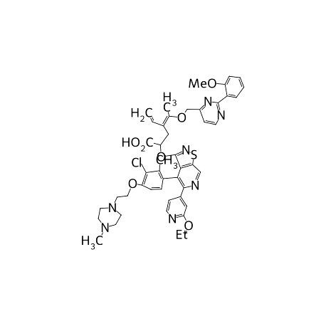 C=C/C(CC(Oc1nsc2cnc(-c3ccnc(OCC)c3)c(-c3ccc(OCCN4CCN(C)CC4)c(Cl)c3C)c12)C(=O)O)=C(\C)OCc1ccnc(-c2ccccc2OC)n1